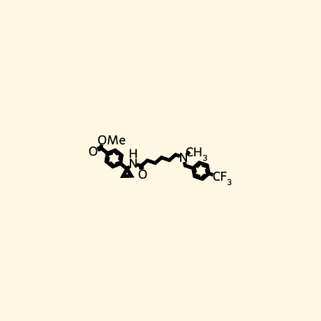 COC(=O)c1ccc(C2(NC(=O)CCCCCN(C)Cc3ccc(C(F)(F)F)cc3)CC2)cc1